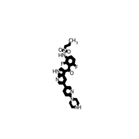 CCCS(=O)(=O)Nc1ccc(F)c(C(=O)c2c[nH]c3ncc(-c4ccc(N5CCNCC5)nc4)cc23)c1F